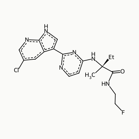 CC[C@@](C)(Nc1ccnc(-c2c[nH]c3ncc(Cl)cc23)n1)C(=O)NCCF